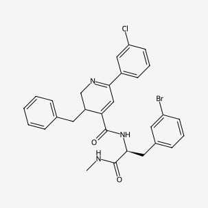 CNC(=O)[C@H](Cc1cccc(Br)c1)NC(=O)C1=CC(c2cccc(Cl)c2)=NCC1Cc1ccccc1